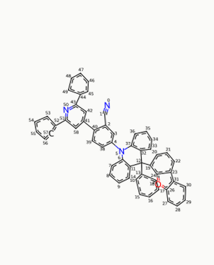 N#Cc1cc(N2c3ccccc3C(c3ccccc3)(c3cccc4c3oc3ccccc34)c3ccccc32)ccc1-c1cc(-c2ccccc2)nc(-c2ccccc2)c1